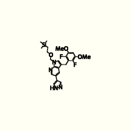 COc1cc(OC)c(F)c(Cc2cn(COCC[Si](C)(C)C)c3ncc(-c4cn[nH]c4)cc23)c1F